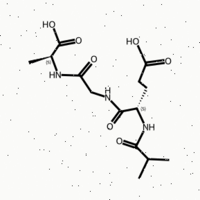 CC(C)C(=O)N[C@@H](CCC(=O)O)C(=O)NCC(=O)N[C@@H](C)C(=O)O